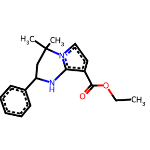 CCOC(=O)c1ccn2c1NC(c1ccccc1)CC2(C)C